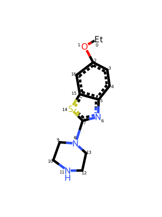 CCOc1ccc2nc(N3CCNCC3)sc2c1